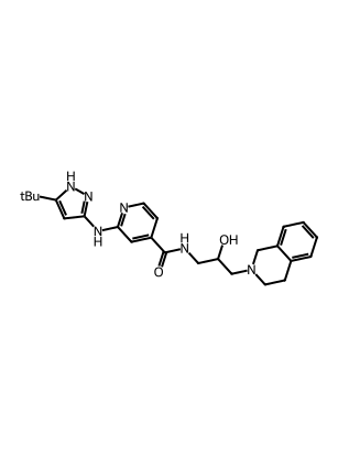 CC(C)(C)c1cc(Nc2cc(C(=O)NCC(O)CN3CCc4ccccc4C3)ccn2)n[nH]1